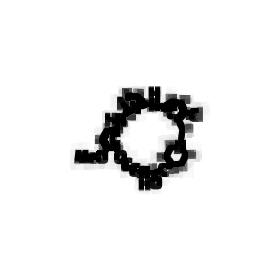 COc1ccc2cc1OCCNC(=O)CC1CCN(CC1)Cc1cc(ccc1Cl)Nc1ccnc(n1)N2